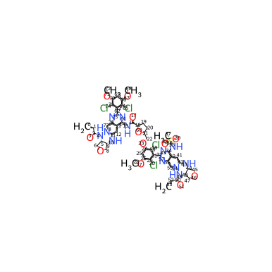 C=CC(=O)N[C@H]1COC[C@H]1Nc1cc2c(NC(=O)C3CCC(COc4cc(OC)c(Cl)c(-c5nc(NS(C)(=O)=O)c6cc(N[C@@H]7COC[C@@H]7NC(=O)C=C)ncc6n5)c4Cl)O3)nc(-c3c(Cl)c(OC)cc(OC)c3Cl)nc2cn1